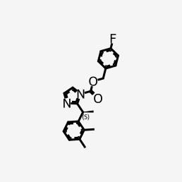 Cc1cccc([C@H](C)c2nccn2C(=O)OCc2ccc(F)cc2)c1C